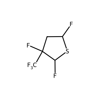 FC1CC(F)(C(F)(F)F)C(F)S1